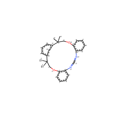 CCC1(CC)COc2ccccc2N=C=Nc2ccccc2OCC(C)(C)c2cccc1c2